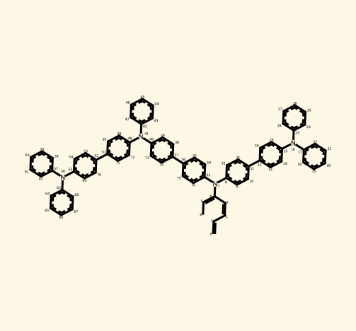 C=C/C=C\C(=C/C)N(c1ccc(-c2ccc(N(c3ccccc3)c3ccccc3)cc2)cc1)c1ccc(-c2ccc(N(c3ccccc3)c3ccc(-c4ccc(N(c5ccccc5)c5ccccc5)cc4)cc3)cc2)cc1